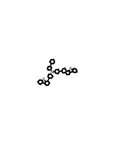 c1ccc(-c2cccc(N(c3ccc(-c4ccc5c(ccc6c7ccccc7sc56)c4)cc3)c3ccc(-c4cccc5c4sc4ccccc45)cc3)c2)cc1